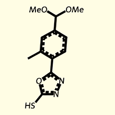 COC(OC)c1ccc(-c2nnc(S)o2)c(C)c1